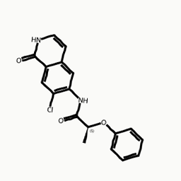 C[C@H](Oc1ccccc1)C(=O)Nc1cc2cc[nH]c(=O)c2cc1Cl